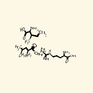 CC(C)CC(N)C(=O)O.CCC(C)C(N)C(=O)O.N=C(N)NCCCC(N)C(=O)O